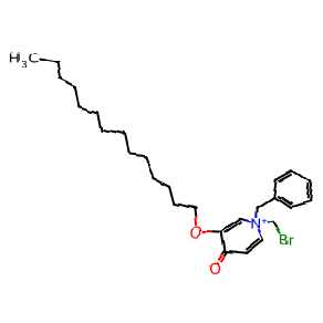 CCCCCCCCCCCCCCOC1=C[N+](CBr)(Cc2ccccc2)C=CC1=O